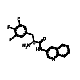 N[C@H](Cc1cc(F)c(F)c(F)c1)C(=O)Nc1cnc2ccccc2c1